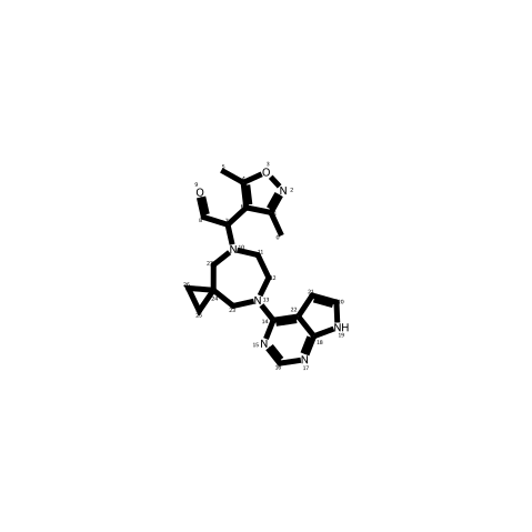 Cc1noc(C)c1C(C=O)N1CCN(c2ncnc3[nH]ccc23)CC2(CC2)C1